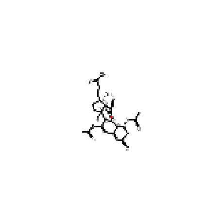 CC(=O)SC1=CC2=CC(=O)C[C@H](SC(C)=O)[C@@]23COC(=O)[C@]24CCC3[C@@H]1[C@@H]2CC[C@@]4(O)CCC(=O)O